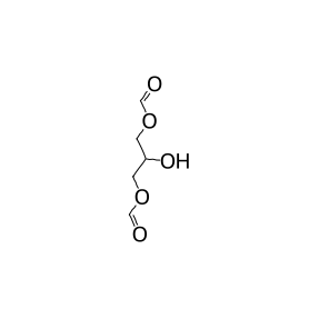 O=COCC(O)COC=O